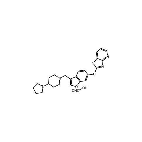 O=CO.c1cnc2nc(Oc3ccc4c(CN5CCC(N6CCCC6)CC5)coc4c3)sc2c1